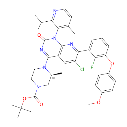 COc1ccc(Oc2cccc(-c3nc4c(cc3Cl)c(N3CCN(C(=O)OC(C)(C)C)C[C@@H]3C)nc(=O)n4-c3c(C)ccnc3C(C)C)c2F)cc1